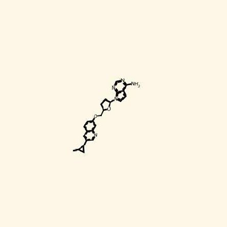 CC1CC1c1cnc2cc(OCC3CCC(n4ccc5c(N)ncnc54)O3)ccc2c1